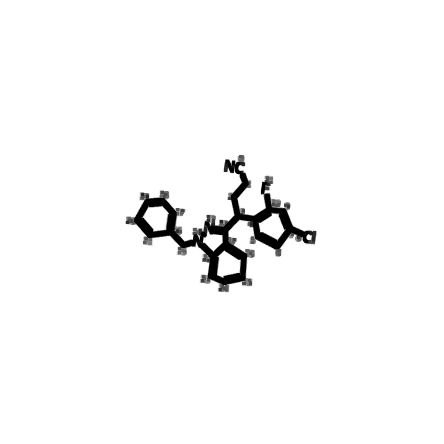 N#CCCC(c1ccc(Cl)cc1F)c1nn(Cc2ccccc2)c2ccccc12